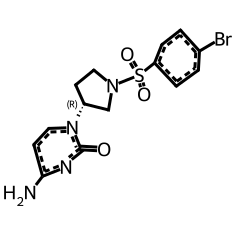 Nc1ccn([C@@H]2CCN(S(=O)(=O)c3ccc(Br)cc3)C2)c(=O)n1